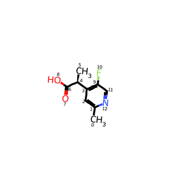 Cc1cc([C@H](C)C(=O)O)c(F)cn1